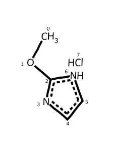 COc1ncc[nH]1.Cl